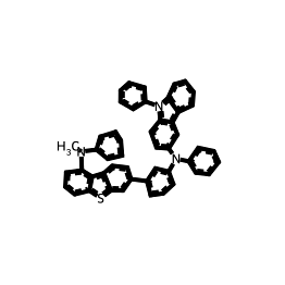 CN(c1ccccc1)c1cccc2sc3cc(-c4cccc(N(c5ccccc5)c5ccc6c(c5)c5ccccc5n6-c5ccccc5)c4)ccc3c12